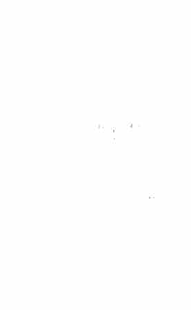 CCCCC(CC)COC(=O)CCSc1ccc(OCc2ccccc2)cc1NC(=O)[C@H](C)NC(C)=O